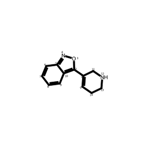 C1=C(c2onc3ccccc23)CNCC1